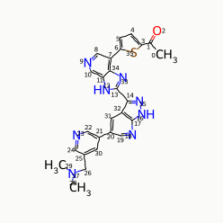 CC(=O)c1ccc(-c2cncc3[nH]c(-c4n[nH]c5ncc(-c6cncc(CN(C)C)c6)cc45)nc23)s1